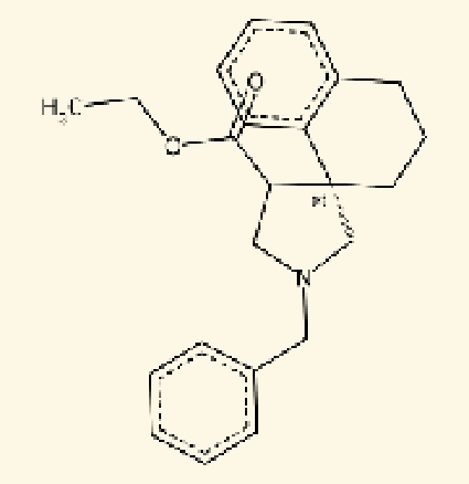 CCOC(=O)C1CN(Cc2ccccc2)C[C@]12CCCc1ccccc12